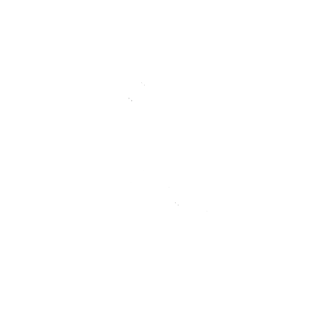 CN1C(=O)[C@@]2(CC2c2ccc3cn[nH]c3c2)c2ccccc21